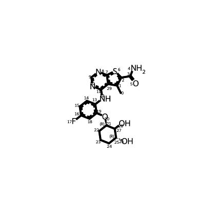 Cc1c(C(N)=O)sc2ncnc(Nc3ccc(F)cc3O[C@@H]3CCC[C@@H](O)C3O)c12